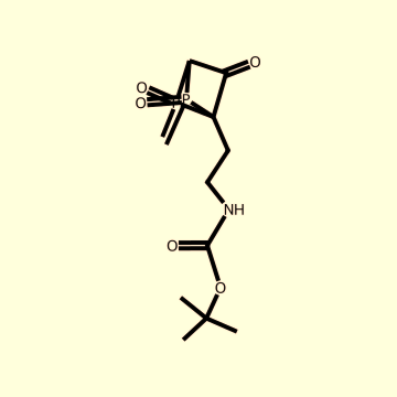 CC(C)(C)OC(=O)NCCC12C(=O)C(P1(C)=O)P2(C)=O